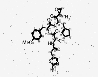 COc1ccc(C[C@H](NC(=O)[C@H](C)NC(=O)Cc2cnc(N)s2)C(=O)N[C@@H](CC2=CCCC2)C(=O)[C@@]2(C)CO2)cc1